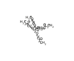 C=CC(=O)OCCOCC(COCCOC(=O)C=C)(COCCOC(=O)C=C)C(=C)COOCCOC